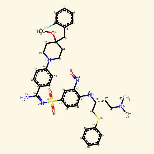 COC1(Cc2ccccc2F)CCN(c2ccc(/C(N)=N\S(=O)(=O)c3ccc(N[C@H](CCN(C)C)CSc4ccccc4)c(N=O)c3)cc2)CC1